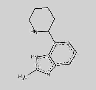 Cc1nc2cccc(C3CCCCN3)c2[nH]1